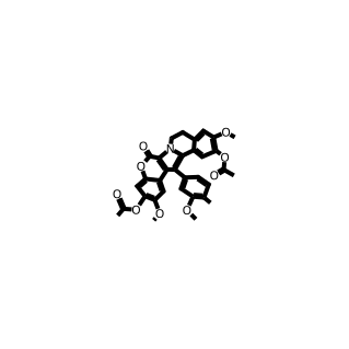 COc1cc(-c2c3n(c4c(=O)oc5cc(OC(C)=O)c(OC)cc5c24)CCc2cc(OC)c(OC(C)=O)cc2-3)ccc1C